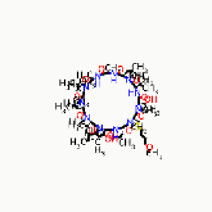 C/C=C/C[C@@H](C)[C@@H](O)[C@H]1C(=O)N[C@@H](CCC)C(=O)N(C)[C@H](CSCCCCOC)C(=O)N(C)[C@@H](C(C)O)C(=O)N[C@H](C(C)C)C(=O)N(C)[C@H](CC(C)C)C(=O)N[C@H](C)C(=O)N[C@@H](C)C(=O)N(C)[C@@H](CC(C)C)C(=O)N(C)[C@@H](CC(C)C)C(=O)N(C)[C@@H](C(C)C)C(=O)N1C